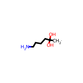 [CH2]C(O)(O)CCCCN